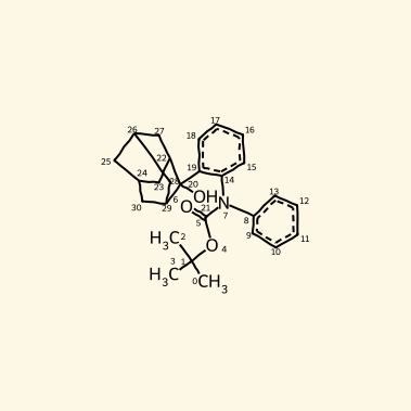 CC(C)(C)OC(=O)N(c1ccccc1)c1ccccc1C1(O)C2CC3CC(C2)CC1C3